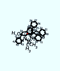 CCN1C(=CC2=[N+](CC)c3ccccc3C2(Cc2ccccc2)Cc2ccccc2)C(C)(Cc2ccccc2)c2ccccc21